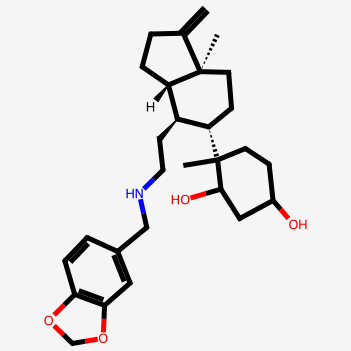 C=C1CC[C@H]2[C@H](CCNCc3ccc4c(c3)OCO4)[C@@H](C3(C)CCC(O)CC3O)CC[C@]12C